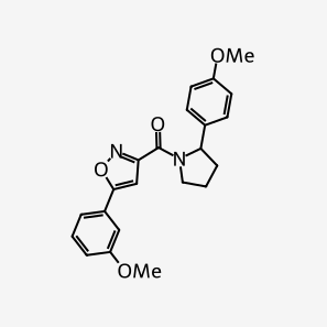 COc1ccc(C2CCCN2C(=O)c2cc(-c3cccc(OC)c3)on2)cc1